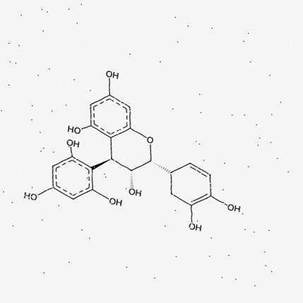 OC1=C(O)CC([C@H]2Oc3cc(O)cc(O)c3[C@H](c3c(O)cc(O)cc3O)[C@H]2O)C=C1